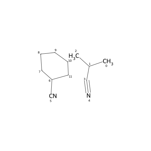 CC(C)C#N.N#CC1CCCCC1